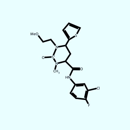 COCCN1C(c2cccs2)CC(C(=O)Nc2ccc(F)c(Cl)c2)N(C)[S+]1[O-]